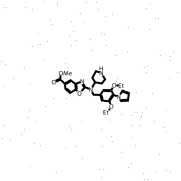 CCOc1cc(CN(c2nc3cc(C(=O)OC)ccc3o2)C2CCNCC2)cc(OCC)c1-n1cccc1